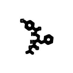 CC(C)OC(=O)NC(CNC(=O)c1ccc(Cl)cc1)Cc1ccccc1